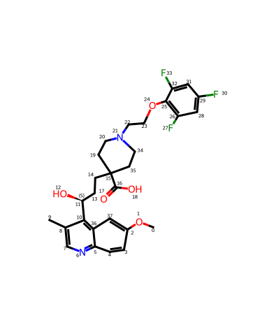 COc1ccc2ncc(C)c([C@@H](O)CCC3(C(=O)O)CCN(CCOc4c(F)cc(F)cc4F)CC3)c2c1